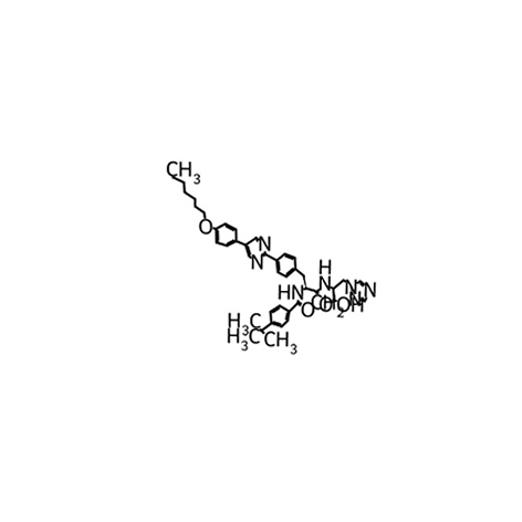 C=C(NC(Cn1cncn1)C(=O)O)[C@H](Cc1ccc(-c2ncc(-c3ccc(OCCCCCCC)cc3)cn2)cc1)NC(=O)c1ccc(C(C)(C)C)cc1